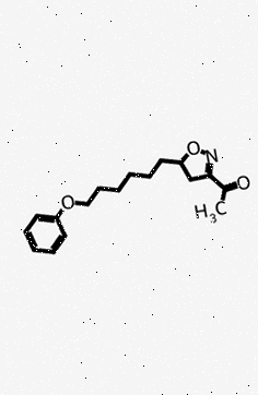 CC(=O)C1=NOC(CCCCCCOc2ccccc2)C1